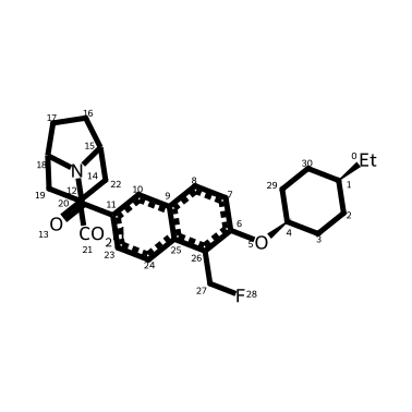 CC[C@H]1CC[C@@H](Oc2ccc3cc(C(=O)N4C5CCC4CC(C(=O)O)C5)ccc3c2CF)CC1